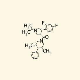 CC(C)N1C[C@@H](C(=O)N2C[C@@H](C)C(c3ccccc3)[C@@H](C)C2)[C@H](c2ccc(F)cc2F)C1